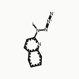 [N-]=[N+]=NN(I)c1ccc2ccccc2n1